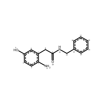 Nc1ccc(O)cc1CC(=O)NCc1ccccc1